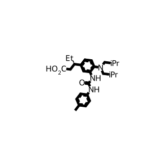 CC[C@@H](CC(=O)O)c1ccc(N(CC(C)C)CC(C)C)c(NC(=O)Nc2ccc(C)cc2)c1